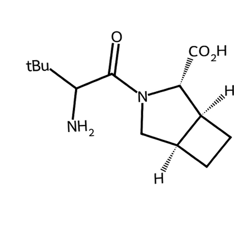 CC(C)(C)C(N)C(=O)N1C[C@@H]2CC[C@@H]2[C@H]1C(=O)O